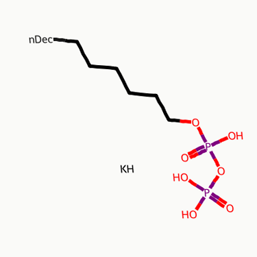 CCCCCCCCCCCCCCCCOP(=O)(O)OP(=O)(O)O.[KH]